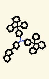 c1ccc(C2(c3ccc(N(c4ccc(-c5ccc6ccccc6c5)cc4)c4ccc(C5(c6ccccc6)c6ccccc6-c6ccccc65)cc4)cc3)c3ccccc3-c3ccccc32)cc1